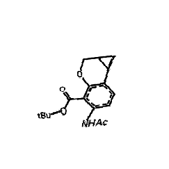 CC(=O)Nc1ccc2c(c1C(=O)OC(C)(C)C)OCC1CC21